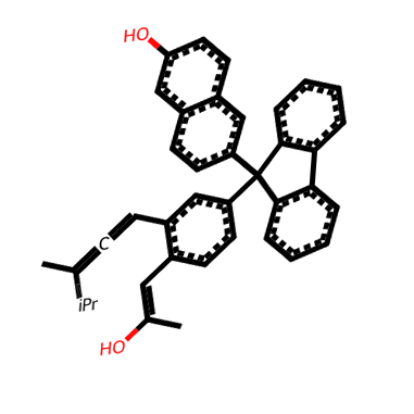 CC(=C=Cc1cc(C2(c3ccc4cc(O)ccc4c3)c3ccccc3-c3ccccc32)ccc1/C=C(\C)O)C(C)C